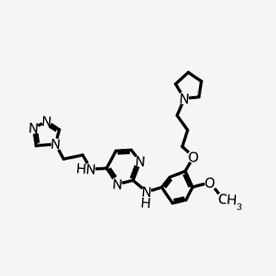 COc1ccc(Nc2nccc(NCCn3cnnc3)n2)cc1OCCCN1CCCC1